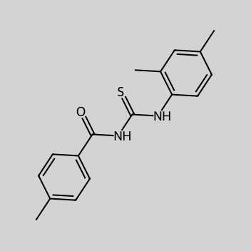 Cc1ccc(C(=O)NC(=S)Nc2ccc(C)cc2C)cc1